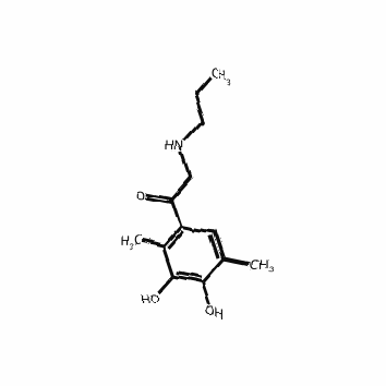 CCCNCC(=O)c1cc(C)c(O)c(O)c1C